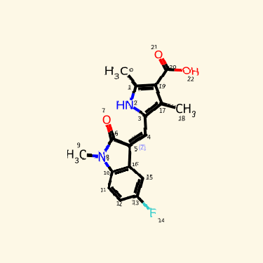 Cc1[nH]c(/C=C2\C(=O)N(C)c3ccc(F)cc32)c(C)c1C(=O)O